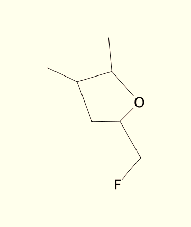 CC1CC(CF)OC1C